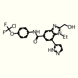 CCn1c(CO)nc2cc(C(=O)Nc3ccc(OC(F)(F)Cl)cc3)cc(-c3ccn[nH]3)c21